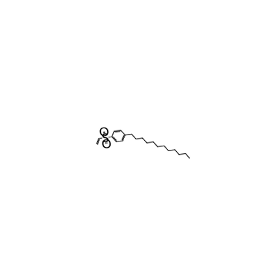 C=CS(=O)(=O)c1ccc(CCCCCCCCCCCC)cc1